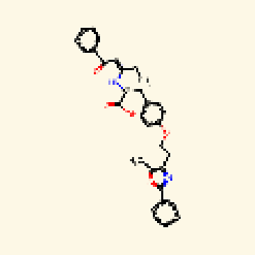 CC/C(=C/C(=O)c1ccccc1)N[C@@H](Cc1ccc(OCCc2nc(-c3ccccc3)oc2C)cc1)C(=O)O